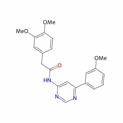 COc1cccc(-c2cc(NC(=O)Cc3ccc(OC)c(OC)c3)ncn2)c1